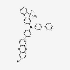 CC1(C)c2ccccc2-c2ccc(N(c3ccc(-c4ccccc4)cc3)c3ccc(-c4ccc5c(c4)Oc4ccc(Br)cc4O5)cc3)cc21